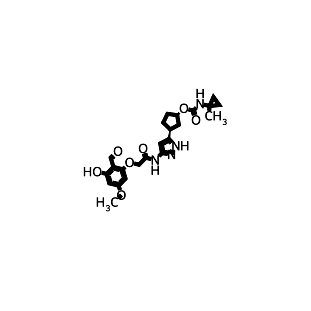 COc1cc(O)c(C=O)c(OCC(=O)Nc2cc([C@H]3CC[C@@H](OC(=O)NC4(C)CC4)C3)[nH]n2)c1